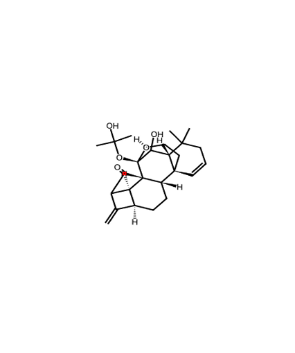 C=C1C2C(=O)[C@]34[C@H]2[C@H]1CC[C@H]3[C@]12C=CCC(C)(C)[C@H]1[C@H](O)[C@@]4(OC(C)(C)O)OCC2